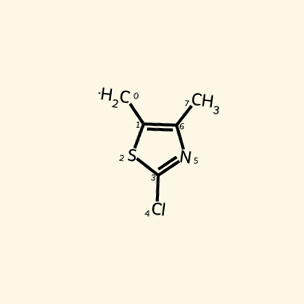 [CH2]c1sc(Cl)nc1C